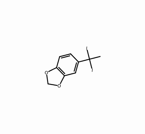 CC(I)(I)c1ccc2c(c1)OCO2